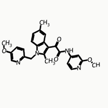 COc1ccc(Cn2c(C)c(C(=O)C(=O)Nc3ccnc(OC)c3)c3cc(C)ccc32)nc1